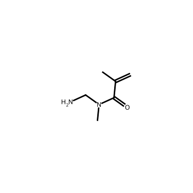 C=C(C)C(=O)N(C)CN